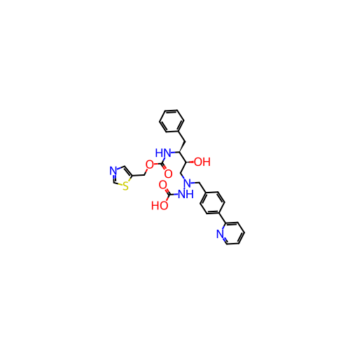 O=C(O)NN(Cc1ccc(-c2ccccn2)cc1)C[C@H](O)[C@H](Cc1ccccc1)NC(=O)OCc1cncs1